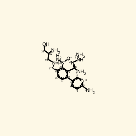 NN/N=C(\N)c1c(-c2ccc(N)nc2)ccc(SNCC(N)CO)c1[S+](N)[O-]